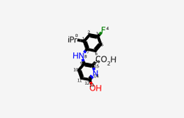 CC(C)c1cc(F)ccc1Nc1ccc(O)nc1C(=O)O